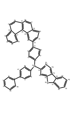 c1ccc(-c2ccc(N(c3ccc(-c4ccc5ccc6ccc7ccccc7c6c5c4)cc3)c3cc4sc5ccccc5c4cn3)cc2)cc1